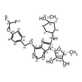 C[C@H]1O[C@@H](n2c(N[C@H]3CC[C@@](C)(O)CC3)nc3c(OCc4ccc(OC(F)F)cc4)ncnc32)[C@H](O)[C@@H]1O